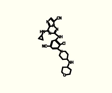 N#Cc1cc(Nc2nc(NC3CC3)c3ncc(C#N)n3n2)c(Cl)c(N2CCC(NC3CCOCC3)CC2)c1